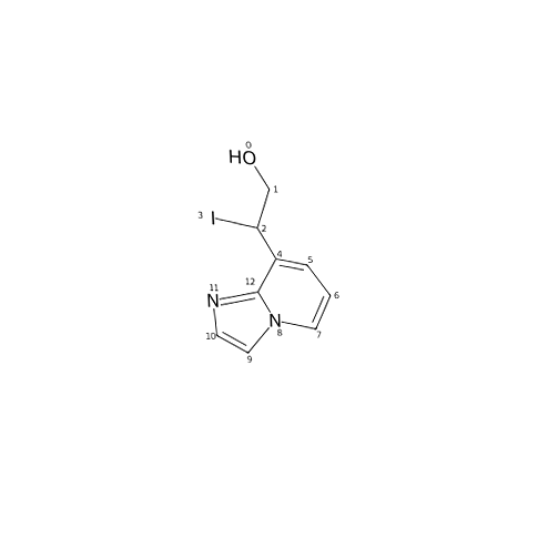 OCC(I)c1cccn2ccnc12